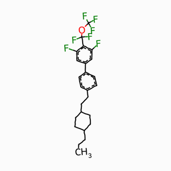 CCCC1CCC(CCc2ccc(-c3cc(F)c(C(F)(F)OC(F)(F)F)c(F)c3)cc2)CC1